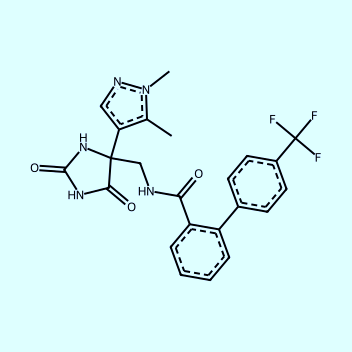 Cc1c(C2(CNC(=O)c3ccccc3-c3ccc(C(F)(F)F)cc3)NC(=O)NC2=O)cnn1C